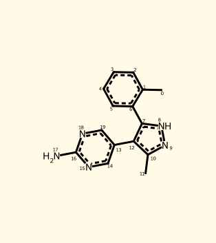 Cc1ccccc1-c1[nH]nc(C)c1-c1cnc(N)nc1